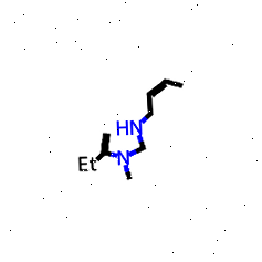 C=C(CC)N(C)CNC/C=C\C